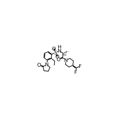 [CH2][C@H](NS(=O)(=O)c1cccc(N2CCCC2=O)c1CC)C(=O)N1CCC(=C(F)F)CC1